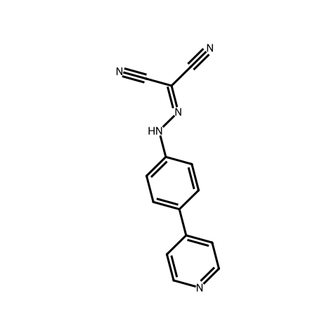 N#CC(C#N)=NNc1ccc(-c2ccncc2)cc1